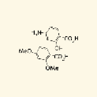 COc1ccc(C(=O)O)c(OC)c1.Nc1ccc(C(=O)O)c(O)c1